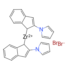 C1=C(n2cccc2)[CH]([Zr+2][CH]2C(n3cccc3)=Cc3ccccc32)c2ccccc21.[Br-].[Br-]